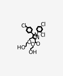 O=C(OCCO)c1nn(-c2ccc(Cl)cc2Cl)c(-c2ccc(Cl)cc2)c1COCCO